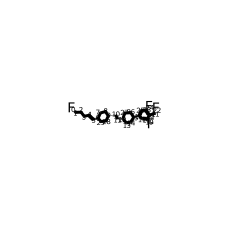 FCCCC=C[C@H]1CC[C@H](CC[C@H]2CC[C@H](c3cc(F)c(CF)c(F)c3)CC2)CC1